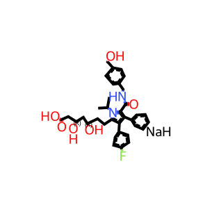 CC(C)n1c(CC[C@@H](O)C[C@@H](O)CC(=O)O)c(-c2ccc(F)cc2)c(-c2ccccc2)c1C(=O)NCc1ccc(CO)cc1.[NaH]